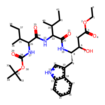 CCOC(=O)CC(O)[C@H](Cc1c[nH]c2ccccc12)NC(=O)C(NC(=O)C(NC(=O)OC(C)(C)C)C(C)CC)C(C)CC